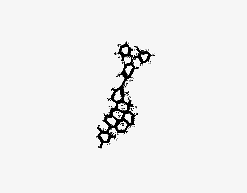 Cc1cc(C)c(-c2ccc3cc4c5c(ccc6ccc2c3c65)C(C)(C)c2cc(-c3ccc(N(c5ccccc5C)c5ccccc5C)cc3)ccc2-4)c(C)c1